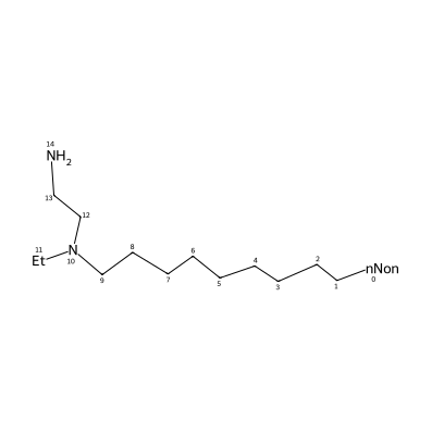 CCCCCCCCCCCCCCCCCCN(CC)CCN